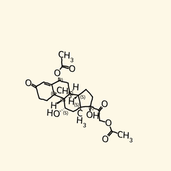 CC(=O)OCC(=O)[C@@]1(O)CC[C@H]2[C@@H]3C[C@@H](OC(C)=O)C4=CC(=O)CC[C@]4(C)[C@H]3[C@@H](O)C[C@@]21C